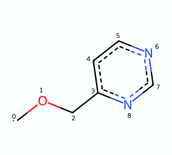 [CH2]OCc1ccncn1